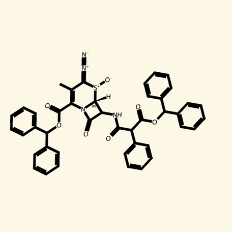 CC1=C(C(=O)OC(c2ccccc2)c2ccccc2)N2C(=O)C(NC(=O)C(C(=O)OC(c3ccccc3)c3ccccc3)c3ccccc3)[C@H]2[S+]([O-])C1=[N+]=[N-]